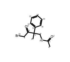 CC(=O)OCC(C)(C(=O)CBr)c1ccccc1